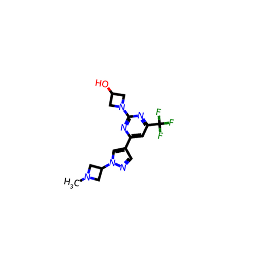 CN1CC(n2cc(-c3cc(C(F)(F)F)nc(N4CC(O)C4)n3)cn2)C1